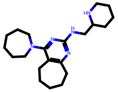 C1CCc2nc(NCC3CCCCN3)nc(N3CCCCCC3)c2CC1